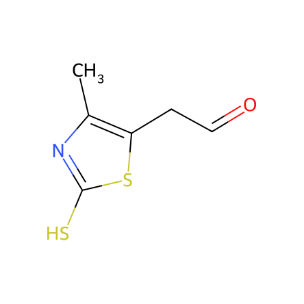 Cc1nc(S)sc1CC=O